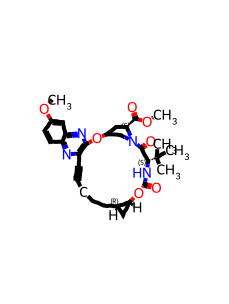 COC(=O)[C@@H]1CC2CN1C(=O)[C@H](C(C)(C)C)NC(=O)O[C@@H]1C[C@H]1CCCC#Cc1nc3ccc(OC)cc3nc1O2